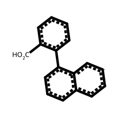 O=C(O)c1ccccc1-c1cccc2cc[c]cc12